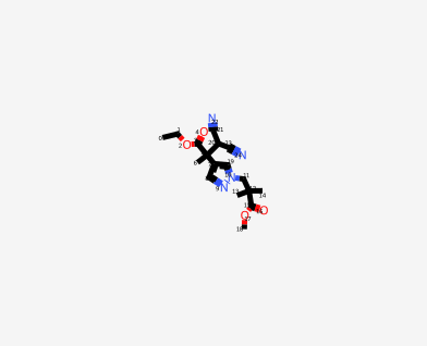 CCOC(=O)C(C)(c1cnn(CC(C)(C)C(=O)OC)c1)C(C#N)C#N